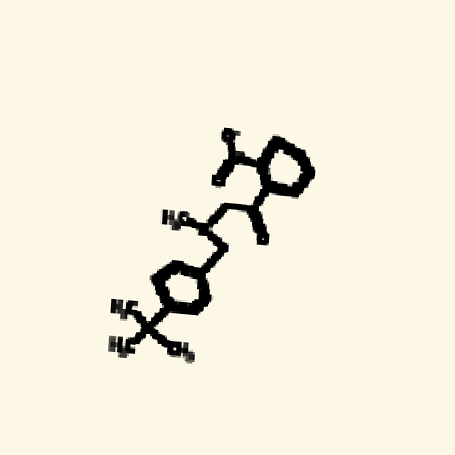 CN(CC(=O)c1ccccc1[N+](=O)[O-])Cc1ccc(C(C)(C)C)cc1